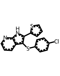 Clc1ccc(Sc2c(-c3cccs3)[nH]c3ncccc23)cc1